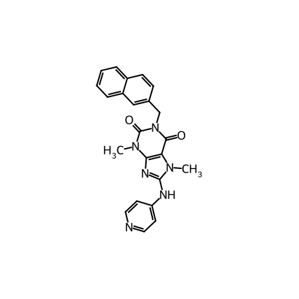 Cn1c(Nc2ccncc2)nc2c1c(=O)n(Cc1ccc3ccccc3c1)c(=O)n2C